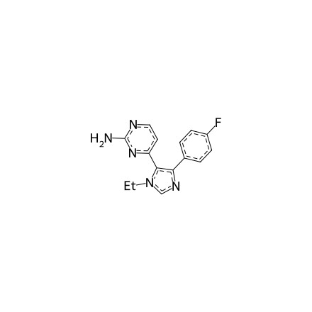 CCn1cnc(-c2ccc(F)cc2)c1-c1ccnc(N)n1